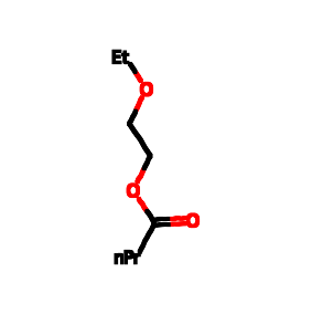 [CH2]CCC(=O)OCCOCC